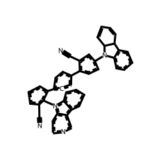 N#Cc1cc(N2c3ccccc3C3C=CC=CC32)ccc1-c1ccc(-c2cccc(C#N)c2-n2c3ccccc3c3cnccc32)cc1